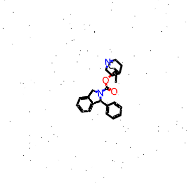 CC1(OC(=O)N2Cc3ccccc3C2c2ccccc2)CN2CCC1CC2